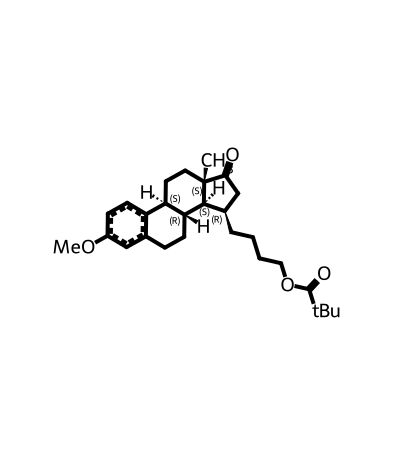 COc1ccc2c(c1)CC[C@H]1[C@@H]3[C@H](CCCCOC(=O)C(C)(C)C)CC(=O)[C@@]3(C)CC[C@H]21